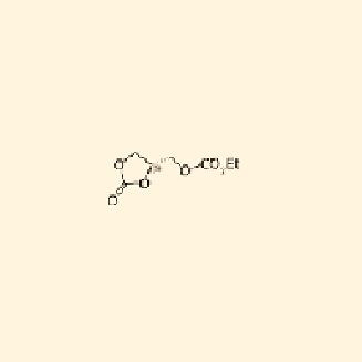 CCOC(=O)OC[C@H]1COC(=O)O1